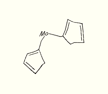 C1=CC[C]([Mo][C]2=CC=CC2)=C1